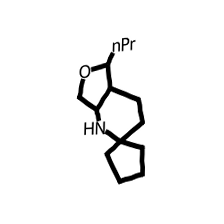 CCCC1OCC2NC3(CCCC3)CCC21